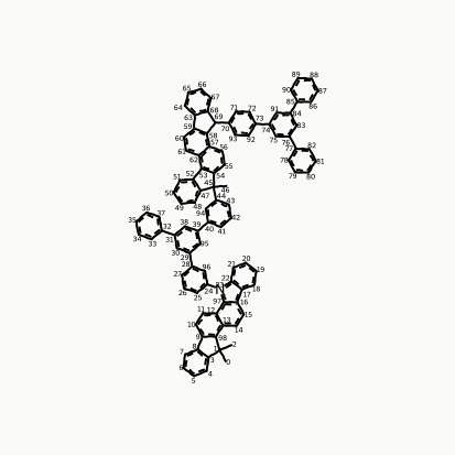 CC1(C)c2ccccc2-c2ccc3c(ccc4c5ccccc5n(-c5cccc(-c6cc(-c7ccccc7)cc(-c7cccc(C8(C)c9ccccc9-c9c8ccc8c%10c(ccc98)-c8ccccc8C%10c8ccc(-c9cc(-c%10ccccc%10)cc(-c%10ccccc%10)c9)cc8)c7)c6)c5)c34)c21